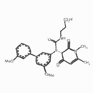 COc1cccc(-c2cc(OC)cc(N(C(=O)NCCC(=O)O)[C@H]3C(=O)C=C(C)N(C)C3=O)c2)c1